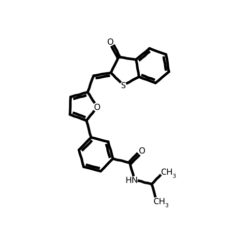 CC(C)NC(=O)c1cccc(-c2ccc(/C=C3\Sc4ccccc4C3=O)o2)c1